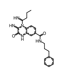 CCCC(=N)n1c(=N)c(=O)[nH]c2cc(C(=O)NCCCc3ccccc3)ccc21